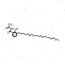 CCCCCCCCCCCCCCCCCCc1cccc(C(=O)NC(C)=O)c1OI